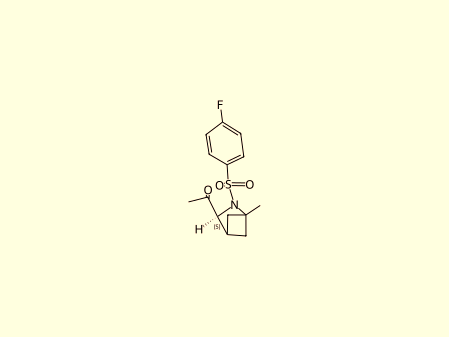 CC(=O)[C@@H]1C2CC(C)(C2)N1S(=O)(=O)c1ccc(F)cc1